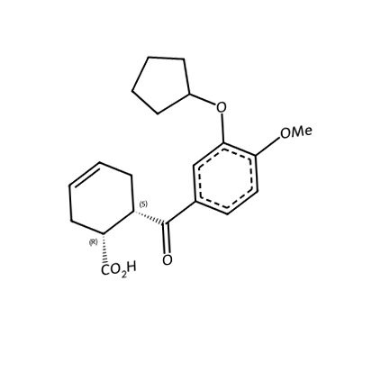 COc1ccc(C(=O)[C@H]2CC=CC[C@H]2C(=O)O)cc1OC1CCCC1